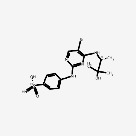 C[C@@H](Nc1nc(Nc2ccc([S@](=N)(=O)O)cc2)ncc1Br)C(C)(C)O